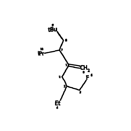 C=C(CC(CC)CF)C(CC(C)(C)C)C(C)C